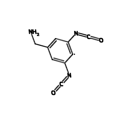 NCc1cc(N=C=O)[c]c(N=C=O)c1